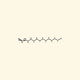 CCCCCCCCCCCCO[C]=S